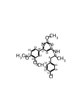 COc1nc(NC(C)Cc2ccc(Cl)cc2)cc(-c2ccc(OC)c(OC)c2)n1